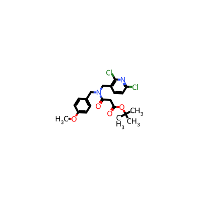 COc1ccc(CN(Cc2ccc(Cl)nc2Cl)C(=O)CC(=O)OC(C)(C)C)cc1